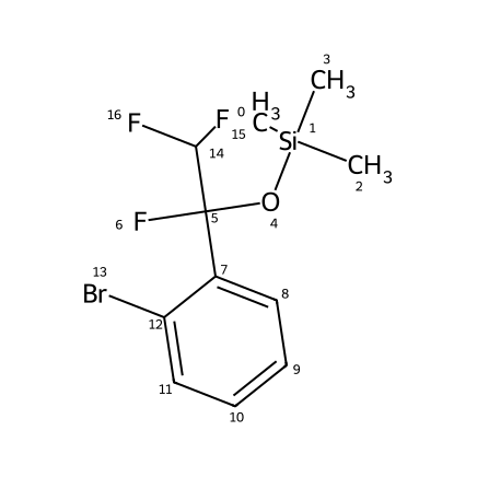 C[Si](C)(C)OC(F)(c1ccccc1Br)C(F)F